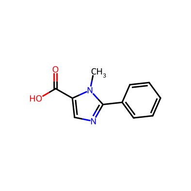 Cn1c(C(=O)O)cnc1-c1ccccc1